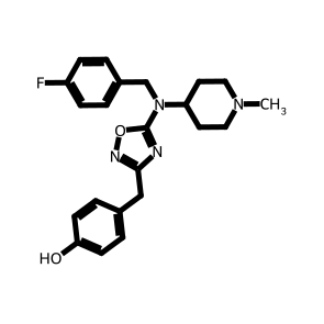 CN1CCC(N(Cc2ccc(F)cc2)c2nc(Cc3ccc(O)cc3)no2)CC1